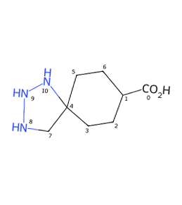 O=C(O)C1CCC2(CC1)CNNN2